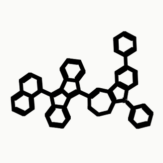 C1=C(C2=C3C(=C(c4cccc5ccccc45)c4ccccc43)c3ccccc32)CCCc2c1c1cc(-c3ccccc3)ccc1n2-c1ccccc1